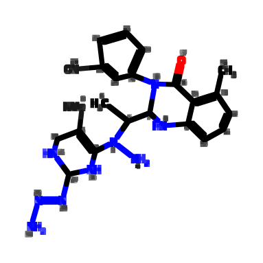 CNC1=C(N(N)C(C)C2Nc3cccc(C)c3C(=O)N2c2cccc(N=O)c2)NC(N=NN)NC1